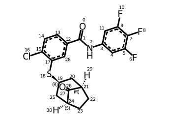 O=C(Nc1cc(F)c(F)c(F)c1)c1ccc(Cl)c(S[C@H]2C[C@H]3CC[C@@H](C2)C3=O)c1